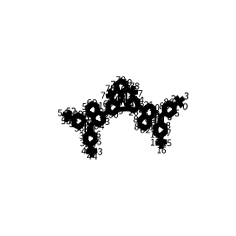 CC(C)(C)c1ccc(N(c2ccc(C(C)(C)C)cc2)c2ccc(-c3cc4c5c(c3)c3cc(-c6ccc(N(c7ccc(C(C)(C)C)cc7)c7ccc(C(C)(C)C)cc7)c7ccccc67)cc6c3n5-c3c(cccc3C6(C)C)C4(C)C)c3ccccc23)cc1